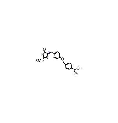 CSC1=NC(=O)/C(=C/c2ccc(OCc3ccc(C(O)C(C)C)cc3)cc2)S1